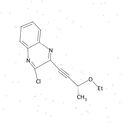 CCO[C@H](C)C#Cc1nc2ccccc2nc1Cl